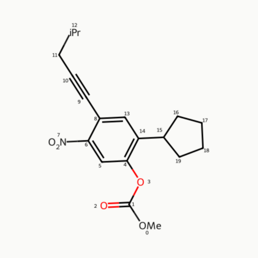 COC(=O)Oc1cc([N+](=O)[O-])c(C#CCC(C)C)cc1C1CCCC1